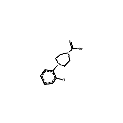 O=C(O)N1CCN(c2ccccc2Cl)CC1